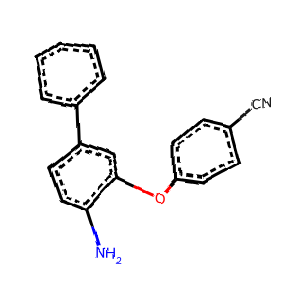 N#Cc1ccc(Oc2cc(-c3ccccc3)ccc2N)cc1